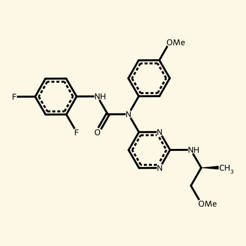 COC[C@H](C)Nc1nccc(N(C(=O)Nc2ccc(F)cc2F)c2ccc(OC)cc2)n1